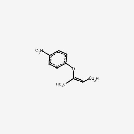 O=C(O)/C=C(\Oc1ccc([N+](=O)[O-])cc1)C(=O)O